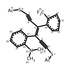 CC(=O)SC#C/C(=C(/C#CSC(C)=O)c1ccccc1C(F)(F)F)c1ccccc1N(C)C